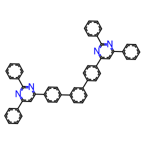 c1ccc(-c2cc(-c3ccc(-c4cccc(-c5ccc(-c6cc(-c7ccccc7)nc(-c7ccccc7)n6)cc5)c4)cc3)nc(-c3ccccc3)n2)cc1